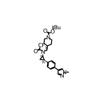 Cn1cc(-c2ccc([C@H]3C[C@@H]3N(CC3CCN(C(=O)OC(C)(C)C)CC3)C(=O)C(F)(F)F)cc2)cn1